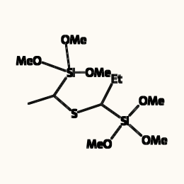 CCC(SC(C)[Si](OC)(OC)OC)[Si](OC)(OC)OC